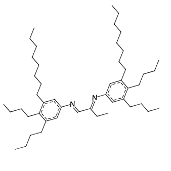 CCCCCCCCc1cc(N=CC(CC)=Nc2cc(CCCC)c(CCCC)c(CCCCCCCC)c2)cc(CCCC)c1CCCC